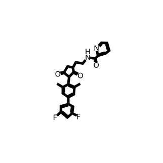 Cc1cc(-c2cc(F)cc(F)c2)cc(C)c1C1C(=O)CC(CCNC(=O)c2ccccn2)C1=O